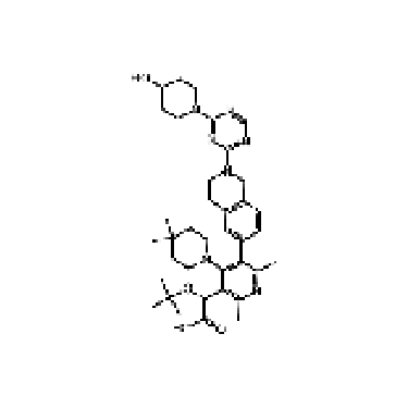 Cc1nc(C)c([C@H](OC(C)(C)C)C(=O)O)c(N2CCC(C)(C)CC2)c1-c1ccc2c(c1)CCN(c1ncnc(N3CCC(O)CC3)n1)C2